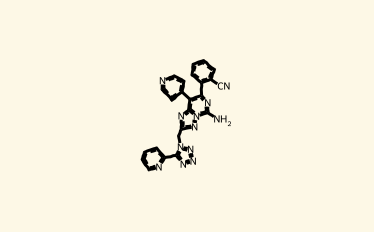 N#Cc1ccccc1-c1nc(N)n2nc(Cn3nnnc3-c3ccccn3)nc2c1-c1ccncc1